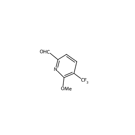 COc1nc(C=O)ccc1C(F)(F)F